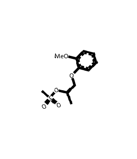 COc1ccccc1OCC(C)OS(C)(=O)=O